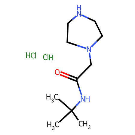 CC(C)(C)NC(=O)CN1CCNCC1.Cl.Cl